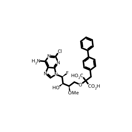 CO[C@H](COC(Cc1ccc(-c2ccccc2)cc1)(C(=O)O)C(=O)O)[C@@H](O)[C@H](F)n1cnc2c(N)nc(Cl)nc21